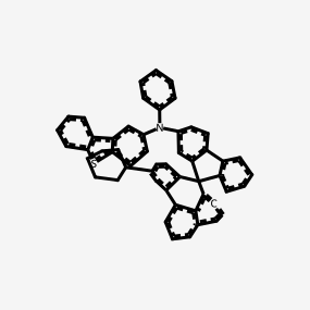 c1ccc(N(c2ccc3c(c2)C2(c4ccccc4-3)c3ccc(C4CCCCC4)cc3-c3cccc4cccc2c34)c2ccc3sc4ccccc4c3c2)cc1